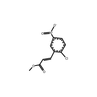 COC(=O)C=Cc1cc([N+](=O)[O-])ccc1Cl